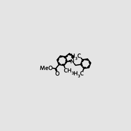 COC(=O)c1ccc2ccn(Cc3c(C)cccc3C)c2c1C